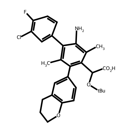 Cc1c(-c2ccc(F)c(Cl)c2)c(N)c(C)c(C(OC(C)(C)C)C(=O)O)c1-c1ccc2c(c1)CCCO2